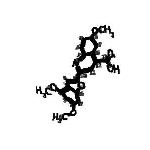 COc1cc(OC)c2cc(-c3cc(C(=O)O)c4cc(OC)ccc4n3)oc2c1